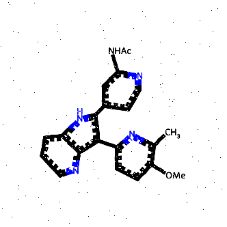 COc1ccc(-c2c(-c3ccnc(NC(C)=O)c3)[nH]c3cccnc23)nc1C